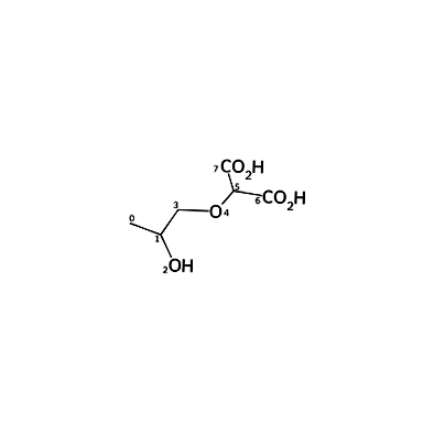 CC(O)COC(C(=O)O)C(=O)O